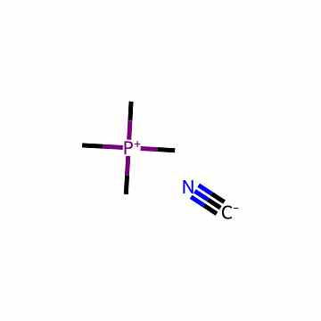 C[P+](C)(C)C.[C-]#N